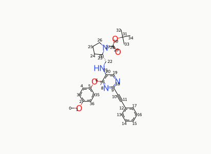 COc1ccc(Oc2nc(C#Cc3ccccc3)ncc2NC[C@@H]2CCCN2C(=O)OC(C)(C)C)cc1